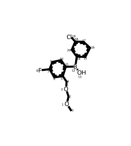 COCOCc1cc(F)ccc1B(O)c1cccc(Cl)c1